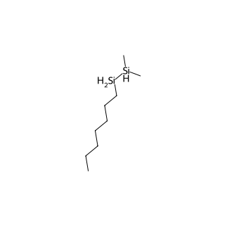 CCCCCCC[SiH2][SiH](C)C